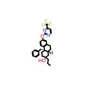 CCC[C@@]1(O)CC[C@@]2(Cc3ccccc3)c3ccc(Oc4nccc(C(F)(F)F)n4)cc3CC[C@@H]2C1